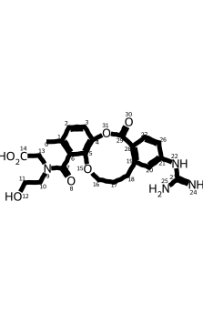 Cc1ccc2c(c1C(=O)N(CCO)CC(=O)O)OCCCc1cc(NC(=N)N)ccc1C(=O)O2